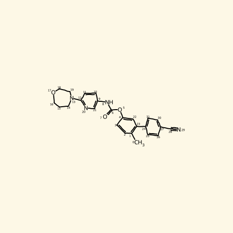 Cc1ccc(OC(=O)Nc2ccc(N3CCCOCC3)nc2)cc1-c1ccc(C#N)cc1